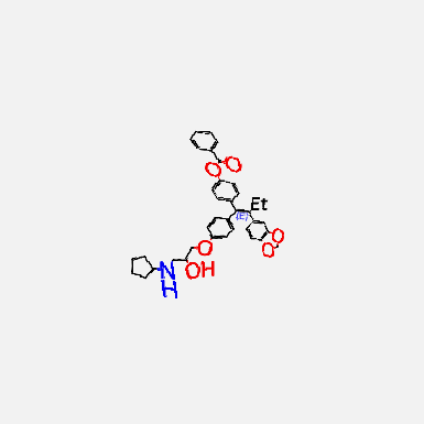 CC/C(=C(/c1ccc(OCC(O)CNC2CCCC2)cc1)c1ccc(OC(=O)c2ccccc2)cc1)c1ccc2c(c1)OCO2